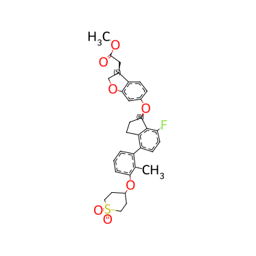 COC(=O)C[C@@H]1COc2cc(O[C@@H]3CCc4c(-c5cccc(OC6CCS(=O)(=O)CC6)c5C)ccc(F)c43)ccc21